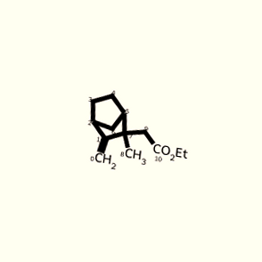 C=C1C2CC[C](C2)C1(C)CC(=O)OCC